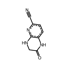 N#Cc1ccc2c(n1)NCC(=O)N2